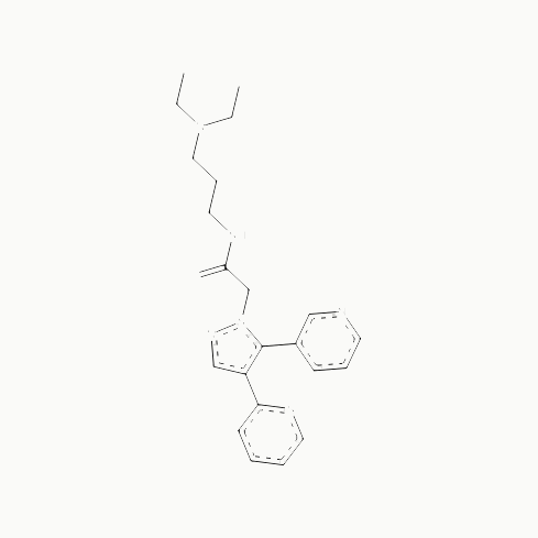 CCN(CC)CCCNC(=O)Cn1ncc(-c2ccccn2)c1-c1cccnc1